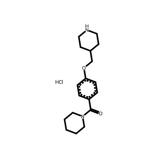 Cl.O=C(c1ccc(OCC2CCNCC2)cc1)N1CCCCC1